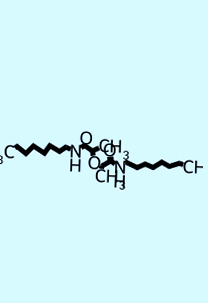 CCCCCCCCNC(=O)C(C)OC(C)C(=O)NCCCCCCCC